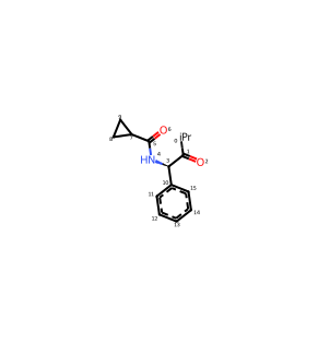 CC(C)C(=O)[C@H](NC(=O)C1CC1)c1ccccc1